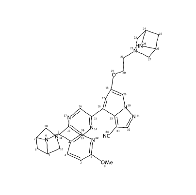 COc1ccc(CN2C3CC2CN(c2cnc(-c4cc(OCCN5CC6CC(C5)N6)cn5ncc(C#N)c45)cn2)C3)cn1